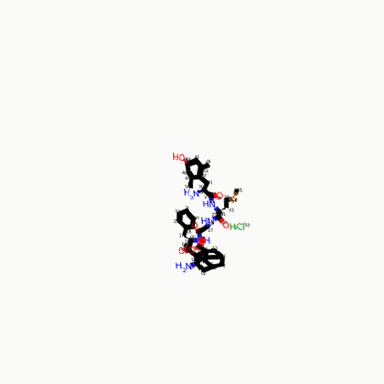 COC(=O)C12CC3CC(CC(N)(C3)C1C(=O)[C@H](Cc1ccccc1)NC(=O)CNC(=O)[C@@H](CCSC)NC(=O)[C@@H](N)Cc1c(C)cc(O)cc1C)C2.Cl